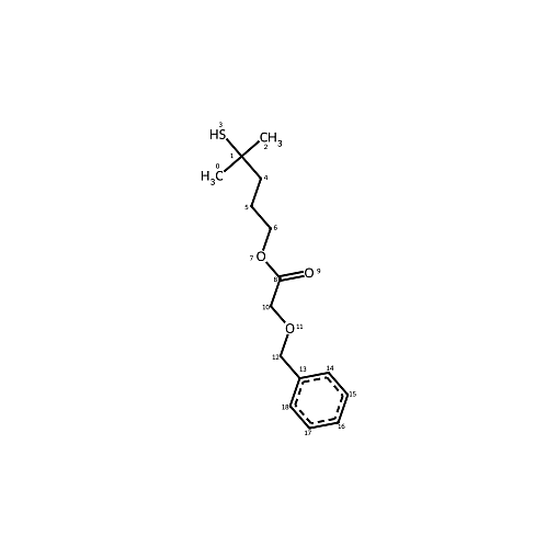 CC(C)(S)CCCOC(=O)COCc1ccccc1